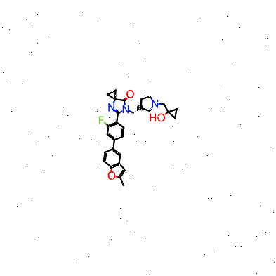 Cc1cc2cc(-c3ccc(C4=NC5(CC5)C(=O)N4C[C@@H]4CCN(CC5(O)CC5)C4)c(F)c3)ccc2o1